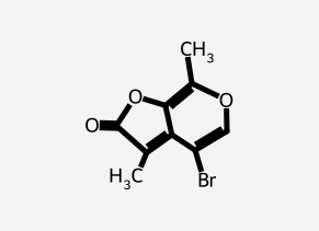 Cc1occ(Br)c2c(C)c(=O)oc1-2